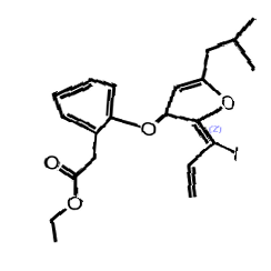 C=C/C(I)=C1/OC(CC(C)C)=CC1Oc1ccccc1CC(=O)OCC